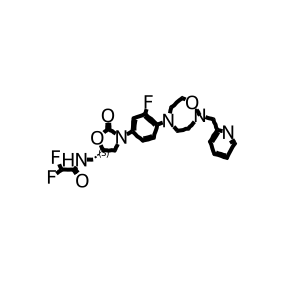 O=C(NC[C@H]1CN(c2ccc(N3CCON(Cc4ccccn4)CC3)c(F)c2)C(=O)O1)C(F)F